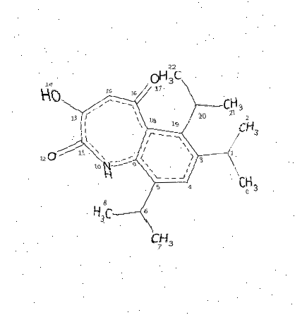 CC(C)c1cc(C(C)C)c2[nH]c(=O)c(O)cc(=O)c2c1C(C)C